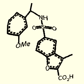 COc1cccc(C(C)NS(=O)(=O)c2ccc3oc(C(=O)O)c(C)c3c2)c1